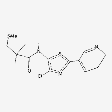 CCc1nc(C2=CCCN=C2)sc1N(C)C(=O)C(C)(C)CSC